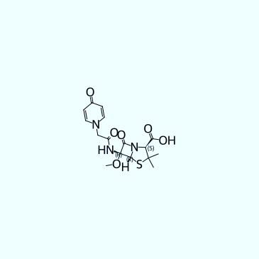 CO[C@]1(NC(=O)Cn2ccc(=O)cc2)C(=O)N2[C@@H](C(=O)O)C(C)(C)S[C@@H]21